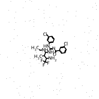 CCNC(N/C(=N\C(=O)c1cccc(Cl)c1)Nc1cccc(Cl)c1)C(C)C(N)C(F)(F)F